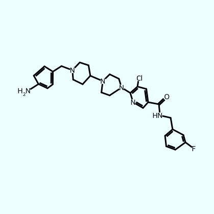 Nc1ccc(CN2CCC(N3CCN(c4ncc(C(=O)NCc5cccc(F)c5)cc4Cl)CC3)CC2)cc1